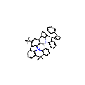 CC1(C)c2cccc3c2-n2c4c1cccc4c1c([Si](C)(C)C)cc4c(c12)B3N1c2ccccc2C2(c3ccccc3-c3ccccc32)c2cccc-4c21